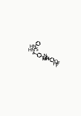 N=C(/N=C\Nc1ccc(OC(F)(F)F)cc1)c1ccc(C2CC2NC(=S)Nc2ccccc2)cc1